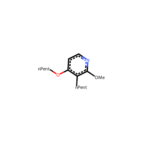 CCCCCOc1ccnc(OC)c1CCCCC